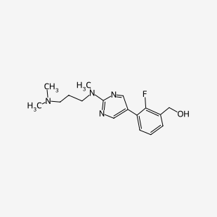 CN(C)CCCN(C)c1ncc(-c2cccc(CO)c2F)cn1